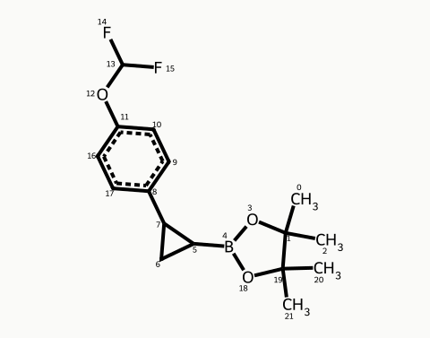 CC1(C)OB(C2CC2c2ccc(OC(F)F)cc2)OC1(C)C